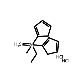 C[CH2][Zr]([CH3])(=[SiH2])([C]1=CC=CC1)[C]1=CC=CC1.Cl.Cl